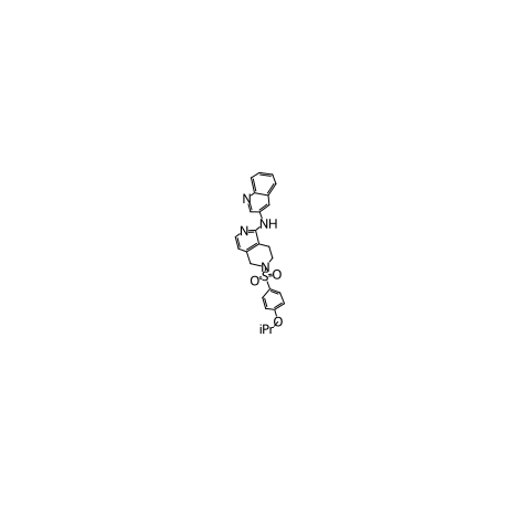 CC(C)Oc1ccc(S(=O)(=O)N2CCc3c(ccnc3Nc3cnc4ccccc4c3)C2)cc1